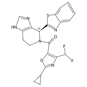 O=C(c1oc(C2CC2)nc1C(F)F)N1CCc2[nH]cnc2[C@H]1c1nc2ccccc2s1